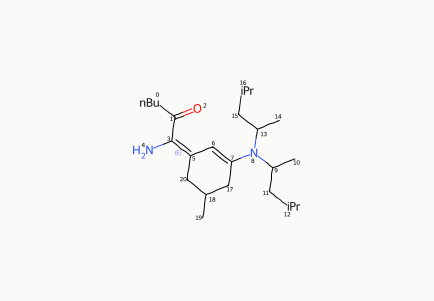 CCCCC(=O)/C(N)=C1\C=C(N(C(C)CC(C)C)C(C)CC(C)C)CC(C)C1